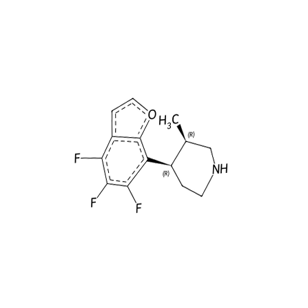 C[C@H]1CNCC[C@H]1c1c(F)c(F)c(F)c2ccoc12